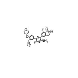 Nc1nc(F)c(-c2ccc(OC3CCOCC3)c(CN3CCC3)c2)nc1-c1cc(F)c2c(c1)CCNC2=O